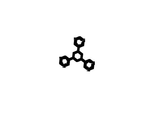 c1ncc(C2CC(c3cncnc3)CC(c3cncnc3)C2)cn1